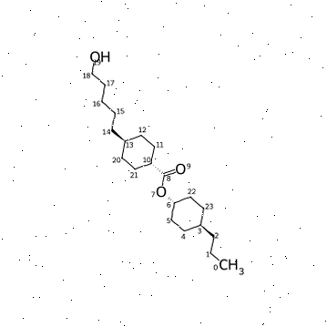 CCC[C@H]1CC[C@H](OC(=O)[C@H]2CC[C@H](CCCCCO)CC2)CC1